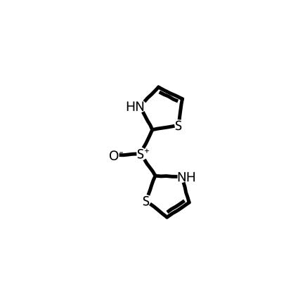 [O-][S+](C1NC=CS1)C1NC=CS1